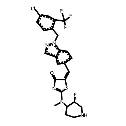 CN(C1=NC(=O)C(=Cc2ccc3c(cnn3Cc3ccc(Cl)cc3C(F)(F)F)c2)S1)C1CCNCC1F